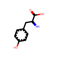 N=C(Cc1ccc(O)cc1)C(=O)O